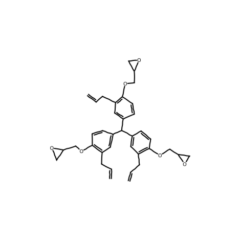 C=CCc1cc(C(c2ccc(OCC3CO3)c(CC=C)c2)c2ccc(OCC3CO3)c(CC=C)c2)ccc1OCC1CO1